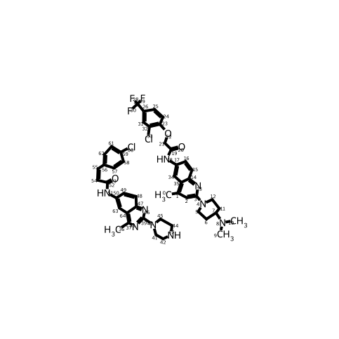 Cc1cc(N2CCC(N(C)C)CC2)nc2ccc(NC(=O)COc3ccc(C(F)(F)F)cc3Cl)cc12.Cc1nc(N2CCNCC2)nc2ccc(NC(=O)/C=C\c3ccc(Cl)cc3)cc12